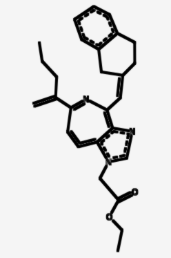 C=C(CCC)C1=NC(/C=C2/CCc3ccccc3C2)=c2ncn(CC(=O)OCC)c2=C=C1